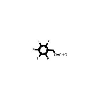 O=COCc1c(F)c(F)c(F)c(F)c1F